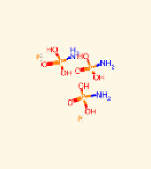 NP(=O)(O)O.NP(=O)(O)O.NP(=O)(O)O.[P].[P]